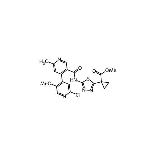 COC(=O)C1(c2nnc(NC(=O)c3cnc(C)cc3-c3cc(Cl)ncc3OC)s2)CC1